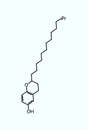 CC(C)CCCCCCCCCCCC1CCc2cc(O)ccc2O1